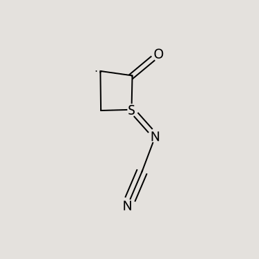 N#CN=S1C[CH]C1=O